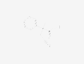 CC(CC#N)(C(=O)O)c1ccccc1